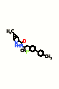 Cc1ccc(-c2ccc(C[C@@H](C#N)NC(=O)C3NC4CC3C3C(C)C43)c(F)c2)cc1